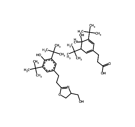 CC(C)(C)C1=CC(CCC(=O)O)=CC(C(C)(C)C)C1(C)O.CC(C)(C)c1cc(CCC2=NC(CO)CO2)cc(C(C)(C)C)c1O